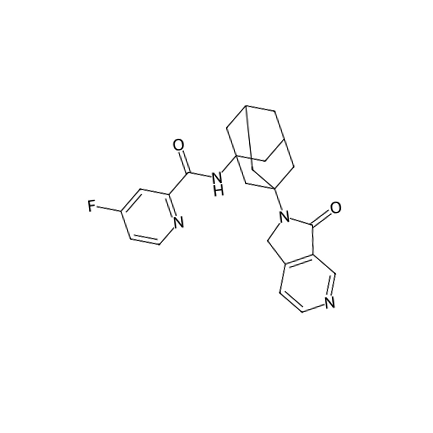 O=C(NC12CC3CC(C1)CC(N1Cc4ccncc4C1=O)(C3)C2)c1cc(F)ccn1